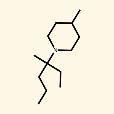 CCCC(C)(CC)N1CCC(C)CC1